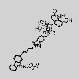 CC(C)(C)[Si](C)(C)O[C@@H](CNCc1ccc2nn(CC/C=C/c3ccc(-c4ccccc4)c(NC(=O)O)c3)nc2c1)c1ccc(O)c2[nH]c(=O)ccc12